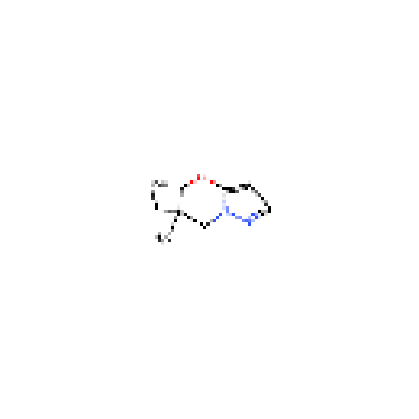 COCC1(C)COc2ccnn2C1